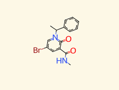 CNC(=O)c1cc(Br)cn(C(C)c2ccccc2)c1=O